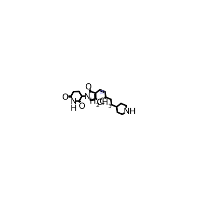 C=C(/C=C\C1=C(C)CN(C2CCC(=O)NC2=O)C1=O)CCC1CCNCC1